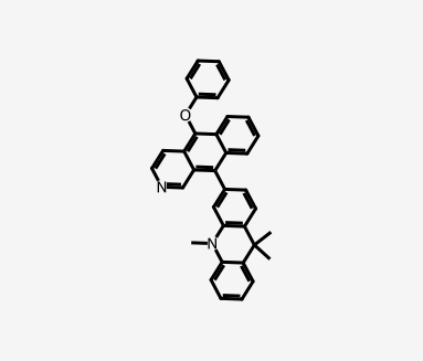 CN1c2ccccc2C(C)(C)c2ccc(-c3c4ccccc4c(Oc4ccccc4)c4ccncc34)cc21